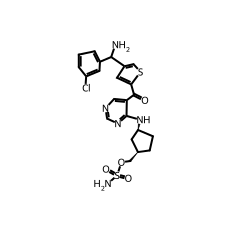 NC(c1cccc(Cl)c1)c1csc(C(=O)c2cncnc2N[C@H]2CC[C@@H](COS(N)(=O)=O)C2)c1